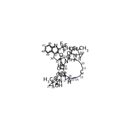 CC(C)C1(N(C(=O)O)[C@H]2CCCCC/C=C\[C@@H]3C[C@@]3(C(=O)NS(=O)(=O)C3(C)CC3)NC(=O)[C@@H]3C[C@]4(CCc5c(c(C(F)(F)F)nc6ccccc56)O4)CN3C2=O)CC1